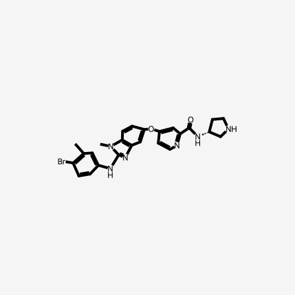 Cc1cc(Nc2nc3cc(Oc4ccnc(C(=O)N[C@@H]5CCNC5)c4)ccc3n2C)ccc1Br